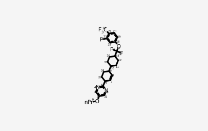 CCCOc1cnc(C2C=CC(C3CCC(C(F)(F)Oc4ccc(C(F)(F)F)c(F)c4)CC3)CC2)nc1